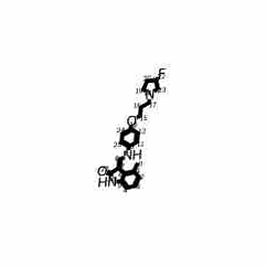 Cc1cccc2c1/C(=C\Nc1ccc(OCCCN3CCC(F)C3)cc1)C(=O)N2